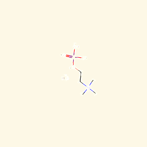 C[N+](C)(C)CCOP(=O)([O-])O.S